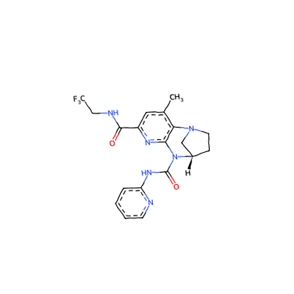 Cc1cc(C(=O)NCC(F)(F)F)nc2c1N1CC[C@@H](C1)N2C(=O)Nc1ccccn1